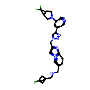 FC12CC(CNCc3ccc4nc(Cn5cc(-c6cncc(N7CC8C(C7)C8(F)F)c6)nn5)cn4c3)(C1)C2